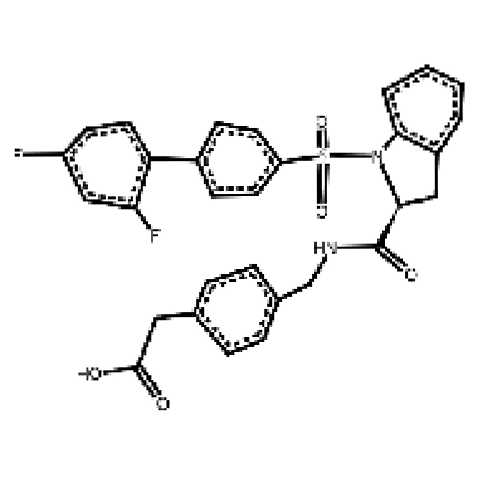 O=C(O)Cc1ccc(CNC(=O)[C@@H]2Cc3ccccc3N2S(=O)(=O)c2ccc(-c3ccc(F)cc3F)cc2)cc1